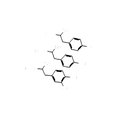 NC(Cc1ccc(O)c(O)c1)C(=O)O.NC(Cc1ccc(O)cc1)C(=O)O.NC(Cc1ccc(O)cc1)C(=O)O